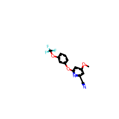 COc1cc(C#N)nc(Oc2cccc(OC(F)(F)F)c2)c1